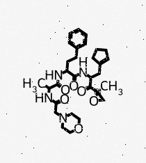 CC(NC(=O)CN1CCOCC1)C(=O)NC(CCc1ccccc1)C(=O)NC(CC1=CCCC1)C(=O)[C@@]1(C)CO1